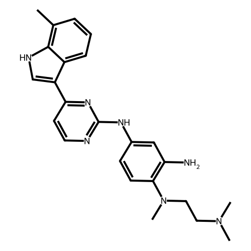 Cc1cccc2c(-c3ccnc(Nc4ccc(N(C)CCN(C)C)c(N)c4)n3)c[nH]c12